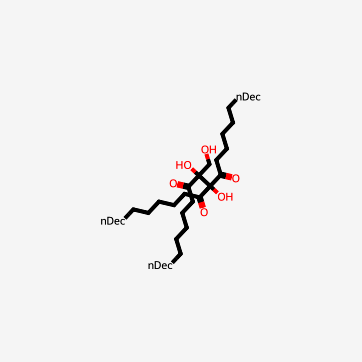 CCCCCCCCCCCCCCCC(=O)C(O)(CO)C(O)(C(=O)CCCCCCCCCCCCCCC)C(=O)CCCCCCCCCCCCCCC